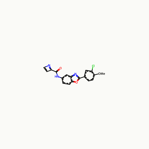 COc1ccc(-c2nc3cc(NC(=O)C4=NC=C4)ccc3o2)cc1Cl